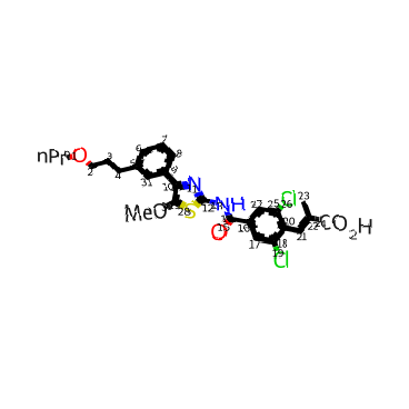 CCCOCCCc1cccc(-c2nc(NC(=O)c3cc(Cl)c(C=C(C)C(=O)O)c(Cl)c3)sc2OC)c1